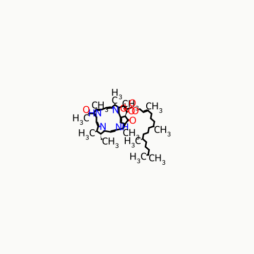 CC[C@H]1c2cc3[nH]c4c(c3C)C(=O)[C@H](C(=O)OC)c4c3nc(cc4[nH]c(cc(n2)[C@@H]1C)c(C(C)=O)c4C)[C@@H](C)C3CCC(=O)OC/C=C(\C)CCC[C@H](C)CCC[C@H](C)CCCC(C)C